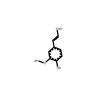 CCCOc1cc(/C=C/[C]=O)ccc1O